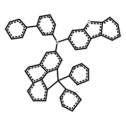 c1ccc(-c2cccc(N(c3cc4c5c(ccc6cccc(c65)C4(c4ccccc4)c4ccccc4)c3)c3ccc4c(c3)oc3ccccc34)c2)cc1